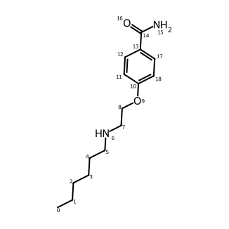 CCCCCCNCCOc1ccc(C(N)=O)cc1